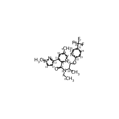 CCN(C(=O)c1ncc(C)cc1-c1ccn(C)n1)C(C)COc1ccc(C(F)(F)F)cn1